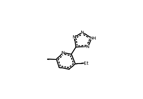 CCc1ccc(C)nc1-c1nn[nH]n1